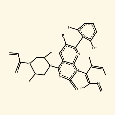 C=CC(=O)N1CC(C)N(c2nc(=O)n(C(/C(C)=C\C)=C(/N=C)C(C)C)c3nc(-c4c(O)cccc4F)c(F)cc23)CC1C